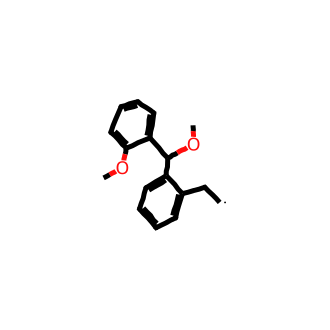 [CH2]Cc1ccccc1C(OC)c1ccccc1OC